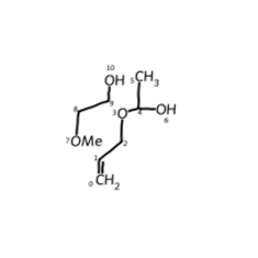 C=CCOC(C)O.COCCO